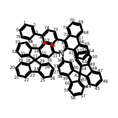 c1ccc(-c2ccc(-c3c(N(c4ccc5c(c4)C4(c6ccccc6-c6ccccc64)c4ccccc4-5)c4ccc5c(c4)C4(c6ccccc6-c6ccccc64)c4ccccc4-5)c4ccccc4c4ccccc34)cc2)cc1